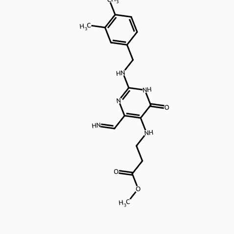 COC(=O)CCNc1c(C=N)nc(NCc2ccc(C)c(C)c2)[nH]c1=O